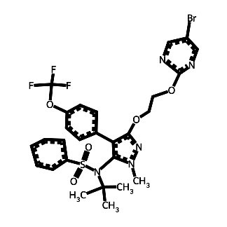 Cn1nc(OCCOc2ncc(Br)cn2)c(-c2ccc(OC(F)(F)F)cc2)c1N(C(C)(C)C)S(=O)(=O)c1ccccc1